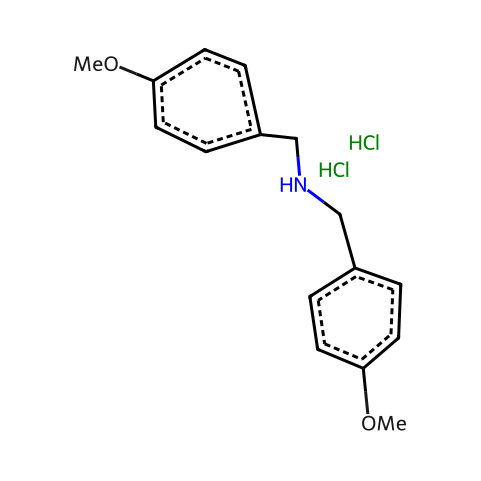 COc1ccc(CNCc2ccc(OC)cc2)cc1.Cl.Cl